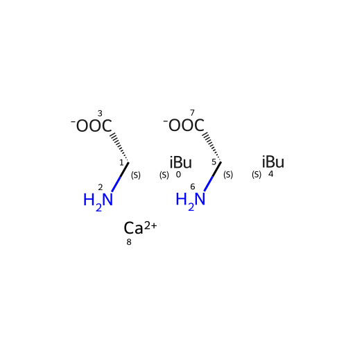 CC[C@H](C)[C@H](N)C(=O)[O-].CC[C@H](C)[C@H](N)C(=O)[O-].[Ca+2]